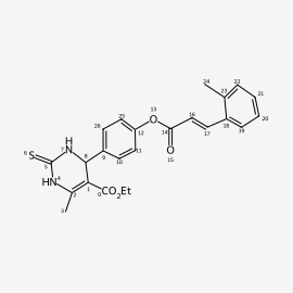 CCOC(=O)C1=C(C)NC(=S)NC1c1ccc(OC(=O)/C=C/c2ccccc2C)cc1